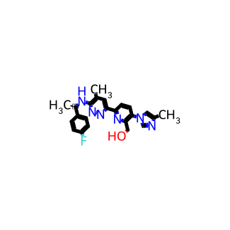 Cc1cn(-c2ccc(-c3cc(C)c(N[C@@H](C)c4ccc(F)cc4)nn3)nc2CO)cn1